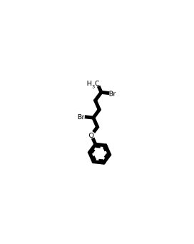 CC(Br)CCC(Br)COc1cc[c]cc1